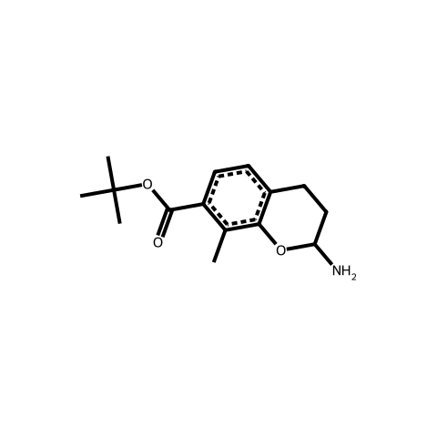 Cc1c(C(=O)OC(C)(C)C)ccc2c1OC(N)CC2